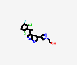 CC(c1c(Cl)ccc(F)c1Cl)c1c[nH]c2ncc(-c3cnn(CCO)c3)cc12